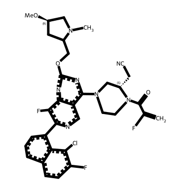 C=C(F)C(=O)N1CCN(c2nc(OCC3C[C@@H](OC)CN3C)nc3c(F)c(-c4cccc5ccc(F)c(Cl)c45)ncc23)C[C@@H]1CC#N